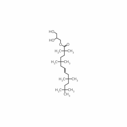 CC(C)(C)CCC(C)(C)C/C=C/CC(C)(C)CCC(C)(C)C(=O)OCC(O)CO